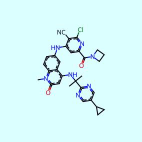 Cn1c(=O)cc(NC(C)(C)c2ncc(C3CC3)cn2)c2cc(Nc3cc(C(=O)N4CCC4)nc(Cl)c3C#N)ccc21